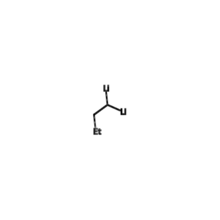 [Li][CH]([Li])CCC